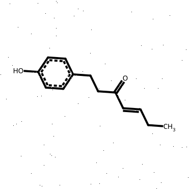 CC/C=C/C(=O)CCc1ccc(O)cc1